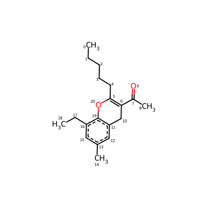 CCCCCC1=C(C(C)=O)Cc2cc(C)cc(CC)c2O1